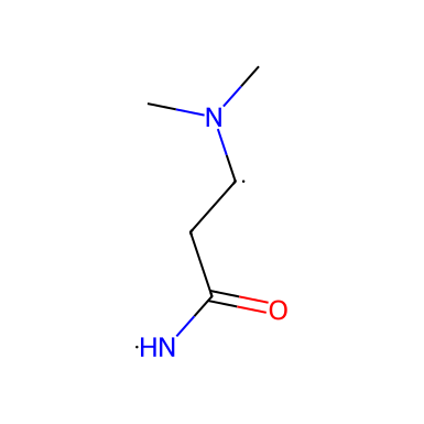 CN(C)[CH]CC([NH])=O